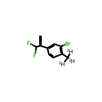 [2H]C([2H])([2H])c1ccc(C(=C)C(F)F)cc1Br